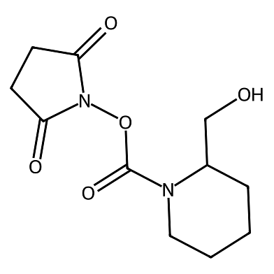 O=C1CCC(=O)N1OC(=O)N1CCCCC1CO